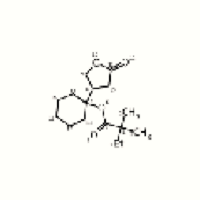 CCC(C)(C)C(=O)OC1(C2COC(=O)C2)CCCCC1